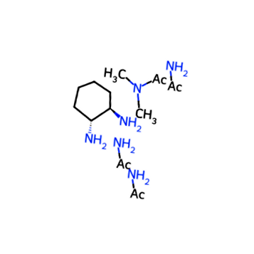 CC(=O)N(C)C.CC(N)=O.CC(N)=O.CC(N)=O.N[C@@H]1CCCC[C@H]1N